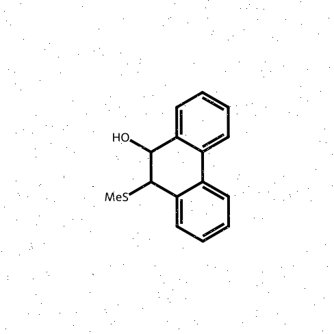 CSC1c2ccccc2-c2ccccc2C1O